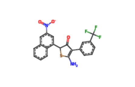 NC1=C(c2cccc(C(F)(F)F)c2)C(=O)C(c2cc([N+](=O)[O-])cc3ccccc23)S1